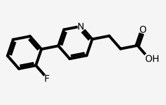 O=C(O)CCc1ccc(-c2ccccc2F)cn1